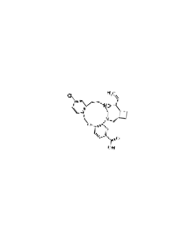 C=C[C@@H](O)[C@@H]1CC[C@H]1CN1CCCCc2cc(Cl)ccc2COc2ccc(C(=O)O)cc21